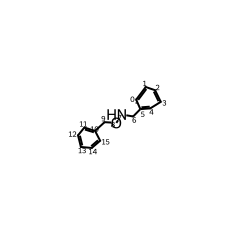 [c]1ccccc1CNOCc1ccccc1